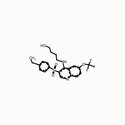 CCc1ccc(S(=O)(=O)c2cnc3ccc(OC(F)(F)F)cc3c2NCCCCO)cc1